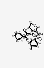 Cc1ccc(S(=O)(=O)N[C@@H]2CCCC[C@H]2OC(=O)C(=O)c2ccccc2)cc1